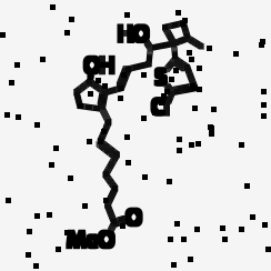 COC(=O)CCCC=CCC1=C(C=CCC(O)C2(c3ccc(Cl)s3)CCC2C)[C@H](O)CC1